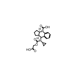 O=C(O)COC(=O)N(C1CC1)C1c2ccccc2N(C(=O)O)[C@@H]2CCC[C@H]12